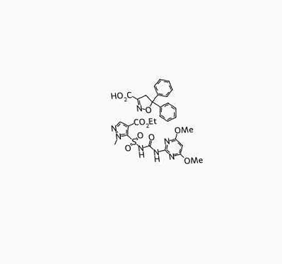 CCOC(=O)c1cnn(C)c1S(=O)(=O)NC(=O)Nc1nc(OC)cc(OC)n1.O=C(O)C1=NOC(c2ccccc2)(c2ccccc2)C1